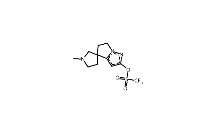 CN1CCC2(CCn3nc(OS(=O)(=O)C(F)(F)F)cc32)C1